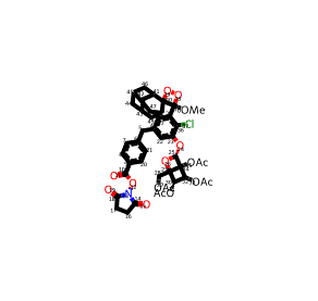 COC1(c2cc(Cc3ccc(C(=O)ON4C(=O)CCC4=O)cc3)cc(O[C@@H]3OC4(COC(C)=O)[C@H](OC(C)=O)C(OC(C)=O)C34OC(C)=O)c2Cl)OOC12C1CC3CC(C1)CC2C3